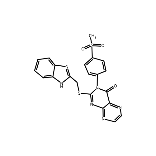 CS(=O)(=O)c1ccc(-n2c(SCc3nc4ccccc4[nH]3)nc3nccnc3c2=O)cc1